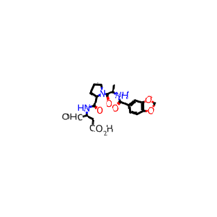 CC(NC(=O)c1ccc2c(c1)OCO2)C(=O)N1CCCC1C(=O)NC(C=O)CC(=O)O